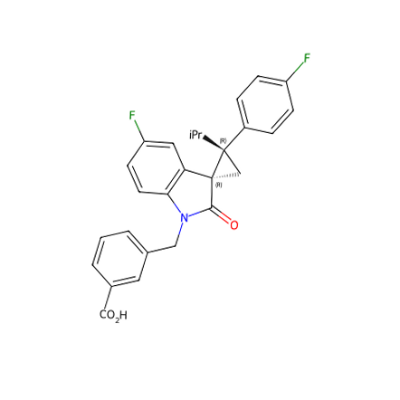 CC(C)[C@@]1(c2ccc(F)cc2)C[C@@]12C(=O)N(Cc1cccc(C(=O)O)c1)c1ccc(F)cc12